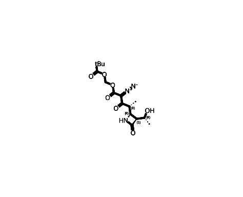 C[C@@H](O)[C@H]1C(=O)N[C@@H]1[C@@H](C)C(=O)C(=[N+]=[N-])C(=O)OCOC(=O)C(C)(C)C